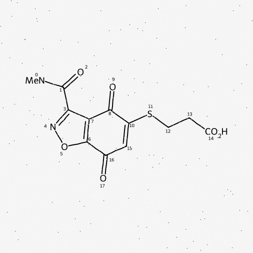 CNC(=O)c1noc2c1C(=O)C(SCCC(=O)O)=CC2=O